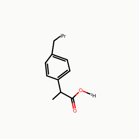 [2H]OC(=O)C(C)c1ccc(CC(C)C)cc1